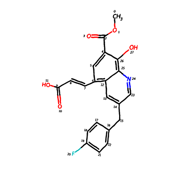 COC(=O)c1cc(C=CC(=O)O)c2cc(Cc3ccc(F)cc3)cnc2c1O